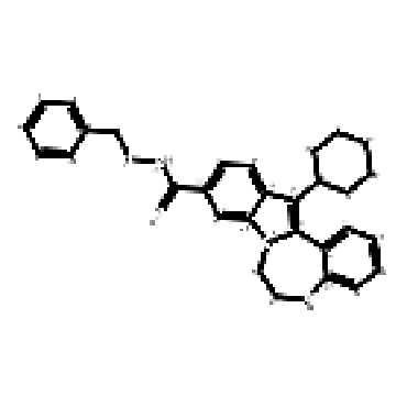 O=C(NOCc1ccccc1)c1ccc2c(C3CCCCC3)c3n(c2c1)CCOc1ccccc1-3